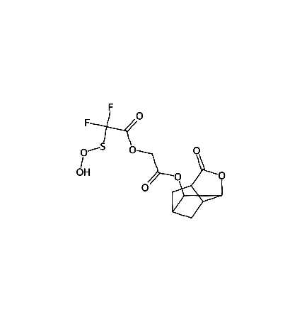 O=C(COC(=O)C(F)(F)SOO)OC1C2CC3C(=O)OC1C3C2